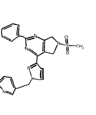 CS(=O)(=O)N1Cc2nc(-c3ccccc3)nc(-c3ccn(Cc4cccnc4)n3)c2C1